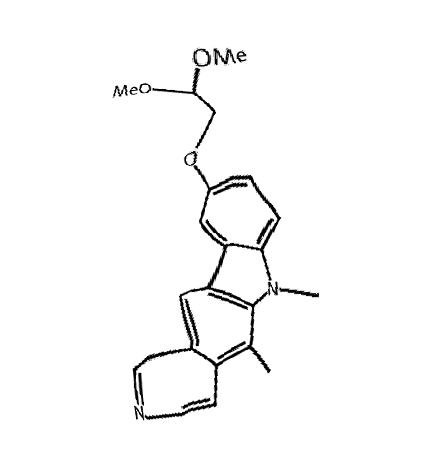 COC(COc1ccc2c(c1)c1cc3cnccc3c(C)c1n2C)OC